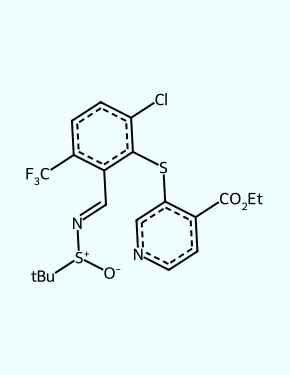 CCOC(=O)c1ccncc1Sc1c(Cl)ccc(C(F)(F)F)c1C=N[S+]([O-])C(C)(C)C